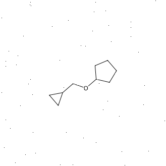 C1CCC(OCC2CC2)C1